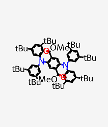 COC(=O)c1cc(N(c2cc(C(C)(C)C)cc(C(C)(C)C)c2)c2cc(C(C)(C)C)cc(C(C)(C)C)c2)c(C(=O)OC)cc1N(c1cc(C(C)(C)C)cc(C(C)(C)C)c1)c1cc(C(C)(C)C)cc(C(C)(C)C)c1